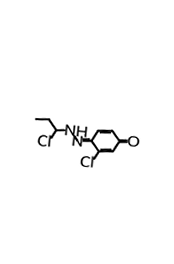 CCC(Cl)N/N=C1\C=CC(=O)C=C1Cl